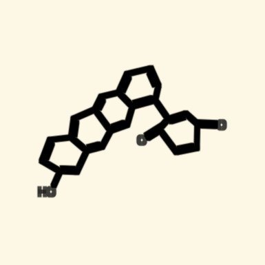 O=C1C=CC(=O)C(c2cccc3cc4cc5ccc(O)cc5cc4cc23)=C1